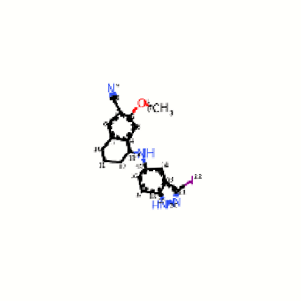 COc1cc2c(cc1C#N)CCCC2Nc1ccc2[nH]nc(I)c2c1